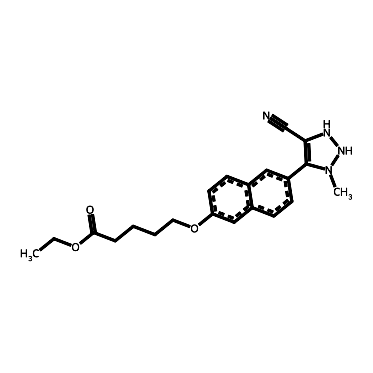 CCOC(=O)CCCCOc1ccc2cc(C3=C(C#N)NNN3C)ccc2c1